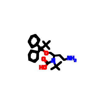 CC(C)(C)N(C(=O)O)C(CCN)CO[Si](c1ccccc1)(c1ccccc1)C(C)(C)C